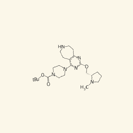 CN1CCC[C@H]1COc1nc2c(c(N3CCN(C(=O)OC(C)(C)C)CC3)n1)CCNCC2